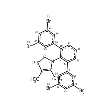 CC1=C(C)N(c2c(-c3cc(Br)cc(Br)c3)cccc2-c2cc(Br)cc(Br)c2)CS1